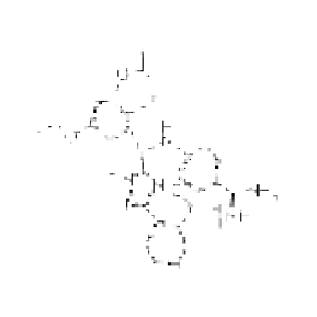 CCOc1cc(OC(C)C)c(F)c(C(Nc2ccc(C(=N)N)cc2)c2nc(-c3ccccc3C(N)=O)nn2C)c1